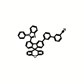 N#Cc1cccc(-c2cccc(-c3ccc4c(c3)-c3c(-c5nc6ccccc6n5-c5ccccc5)cccc3C43c4ccccc4Oc4ccccc43)c2)c1